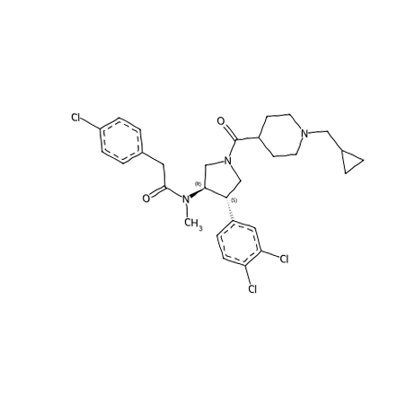 CN(C(=O)Cc1ccc(Cl)cc1)[C@H]1CN(C(=O)C2CCN(CC3CC3)CC2)C[C@@H]1c1ccc(Cl)c(Cl)c1